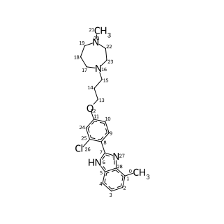 Cc1cccc2[nH]c(-c3ccc(OCCCN4CCCN(C)CC4)cc3Cl)nc12